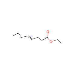 CCC/C=C/CCC(=O)OCC